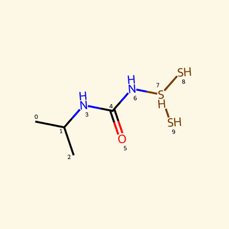 CC(C)NC(=O)N[SH](S)S